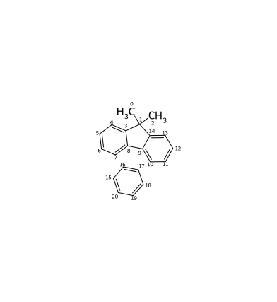 CC1(C)c2ccccc2-c2ccccc21.c1ccccc1